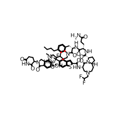 CCCCc1ccc(C[C@H](NC(=O)[C@H](CCC(N)=O)NC(=O)[C@@H]2CC[C@@H]3CCN(CC(F)F)C[C@H](NC(=O)c4cc5cc(C(F)(F)P(=O)(O)O)ccc5s4)C(=O)N32)C(=O)N2CCC(CCN(C)c3cccc4c3CN(C3CCC(=O)NC3=O)C4=O)CC2)cc1